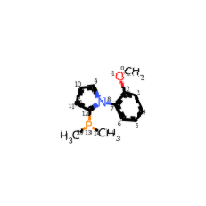 COc1ccccc1-n1cccc1P(C)C